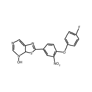 O=[N+]([O-])c1cc(C2=NC3=CN=CN(O)C3S2)ccc1Oc1ccc(F)cc1